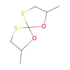 CC1CSC2(O1)OC(C)CS2